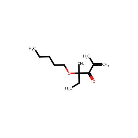 C=C(C)C(=O)C(C)(CC)OCCCCC